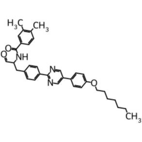 CCCCCCCOc1ccc(-c2cnc(-c3ccc(CC(C=O)NC(=O)c4ccc(C)c(C)c4)cc3)nc2)cc1